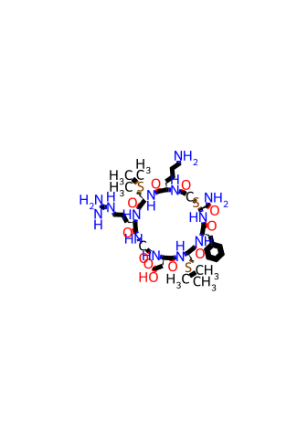 CC(C)(C)SC[C@@H]1NC(=O)[C@H](CCCCN)NC(=O)CS[C@@H](C(N)=O)NC(=O)[C@H](Cc2ccccc2)NC(=O)[C@H](CSC(C)(C)C)NC(=O)[C@H](CC(=O)O)NC(=O)CNC(=O)[C@H](CCCNC(=N)N)NC1=O